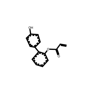 C=CC(=O)Oc1ccccc1-c1ccc(O)cc1